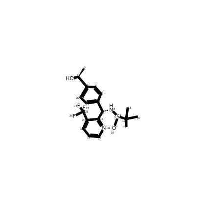 C[C@H](O)c1ccc([C@H](N[S+]([O-])C(C)(C)C)c2ncccc2C(F)(F)F)cc1